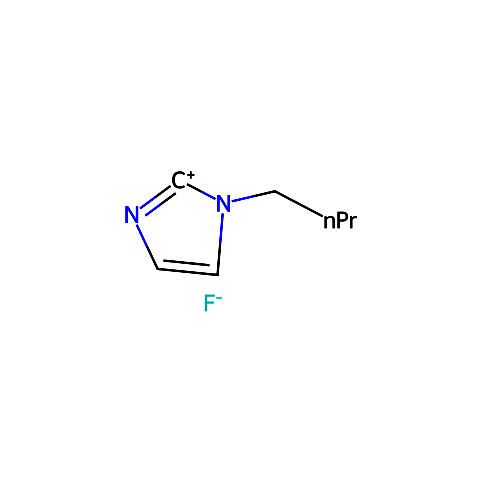 CCCCN1[C+]=NC=C1.[F-]